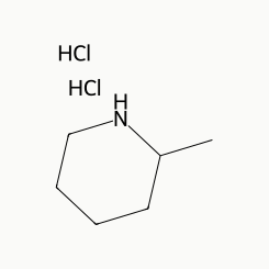 CC1CCCCN1.Cl.Cl